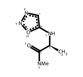 CNC(=O)[C@H](C)Nc1cnno1